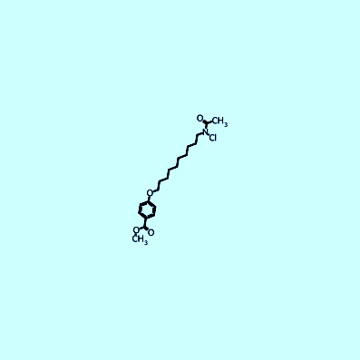 COC(=O)c1ccc(OCCCCCCCCCCN(Cl)C(C)=O)cc1